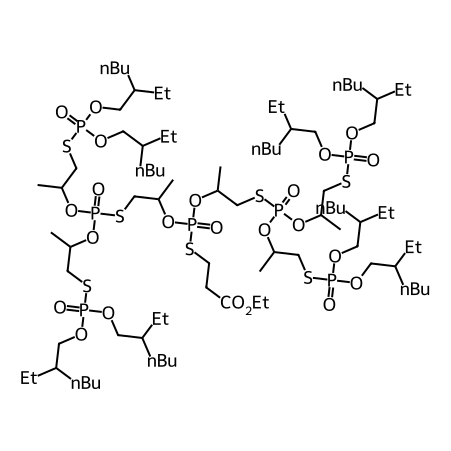 CCCCC(CC)COP(=O)(OCC(CC)CCCC)SCC(C)OP(=O)(OC(C)CSP(=O)(OCC(CC)CCCC)OCC(CC)CCCC)SCC(C)OP(=O)(OC(C)CSP(=O)(OC(C)CSP(=O)(OCC(CC)CCCC)OCC(CC)CCCC)OC(C)CSP(=O)(OCC(CC)CCCC)OCC(CC)CCCC)SCCC(=O)OCC